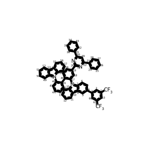 FC(F)(F)c1cc(-c2ccc3c(c2)c2ccccc2n3-c2cc(-c3nc(-c4ccccc4)cc(-c4ccccc4)n3)ccc2-c2ccccc2-n2c3ccccc3c3ccccc32)cc(C(F)(F)F)c1